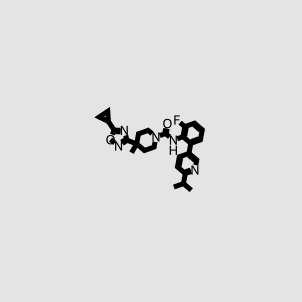 CC(C)c1ccc(-c2cccc(F)c2NC(=O)N2CCC(C)(c3noc(C4CC4)n3)CC2)cn1